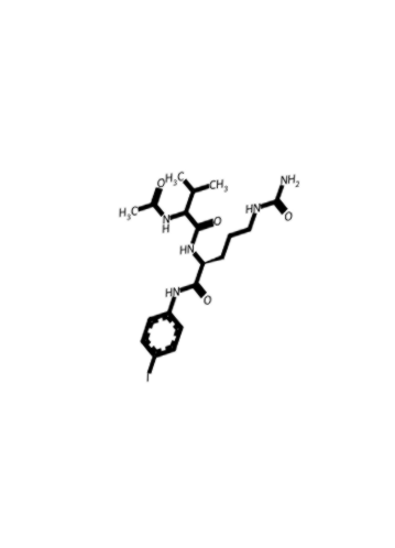 CC(=O)NC(C(=O)N[C@@H](CCCNC(N)=O)C(=O)Nc1ccc(I)cc1)C(C)C